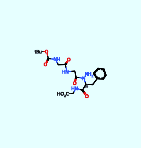 CC(C)(C)OC(=O)NCC(=O)NCC(=O)N(N)[C@@H](Cc1ccccc1)C(=O)NCC(=O)O